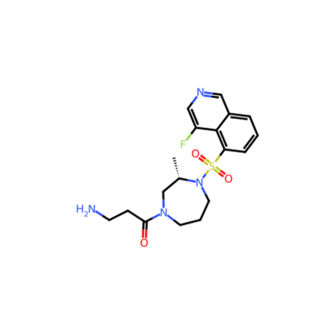 C[C@H]1CN(C(=O)CCN)CCCN1S(=O)(=O)c1cccc2cncc(F)c12